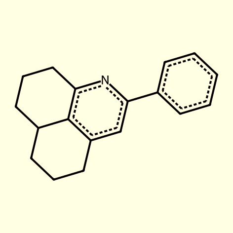 c1ccc(-c2cc3c4c(n2)CCCC4CCC3)cc1